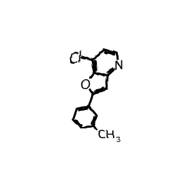 Cc1cccc(-c2cc3nccc(Cl)c3o2)c1